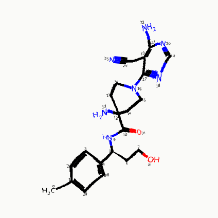 Cc1ccc([C@H](CCO)NC(=O)C2(N)CCN(c3ncnc(N)c3C#N)CC2)cc1